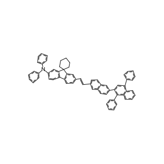 C(=C\c1ccc2cc(-c3cc(-c4ccccc4)c4ccccc4c3-c3ccccc3)ccc2c1)/c1ccc2c(c1)C1(CCCCC1)c1cc(N(c3ccccc3)c3ccccc3)ccc1-2